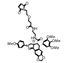 COc1ccc(N2C[C@@H]3C(=N2)c2cc4c(cc2[C@@H](c2cc(OC)c(OC)c(OC)c2)[C@H]3C(=O)NCCNC(=O)CCOCCN2C(=O)C=CC2=O)OCO4)cc1